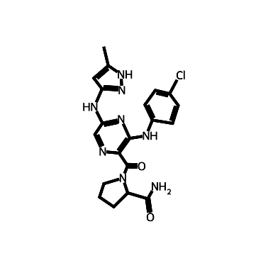 Cc1cc(Nc2cnc(C(=O)N3CCCC3C(N)=O)c(Nc3ccc(Cl)cc3)n2)n[nH]1